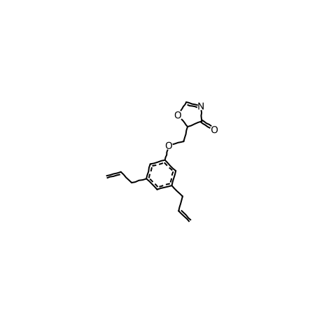 C=CCc1cc(CC=C)cc(OCC2OC=NC2=O)c1